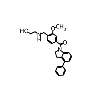 COc1cc(C(=O)N2CCc3c(-c4ccccc4)cccc32)ccc1CNCCO